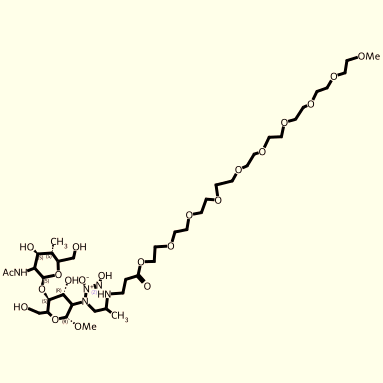 COCCOCCOCCOCCOCCOCCOCCOCCOCCOC(=O)CCNC(C)CN(C1[C@H](OC)OC(CO)[C@@H](O[C@@H]2OC(CO)[C@@H](C)[C@H](O)C2NC(C)=O)[C@@H]1O)/[N+]([O-])=N/O